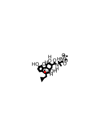 CC(C)(NC(=O)C1=C(O)[C@@H]2Oc3c(O)ccc4c3[C@@]23CCN(CC2CC2)[C@H](C4)[C@]3(O)C1)C(=O)NS(C)(=O)=O